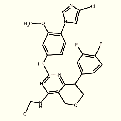 CCNc1nc(Nc2ccc(-n3cnc(Cl)c3)c(OC)c2)nc2c1COCC2c1ccc(F)c(F)c1